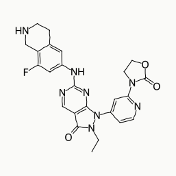 CCn1c(=O)c2cnc(Nc3cc(F)c4c(c3)CCNC4)nc2n1-c1ccnc(N2CCOC2=O)c1